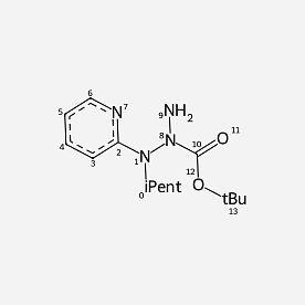 [CH2]CCC([CH2])N(c1ccccn1)N(N)C(=O)OC(C)(C)C